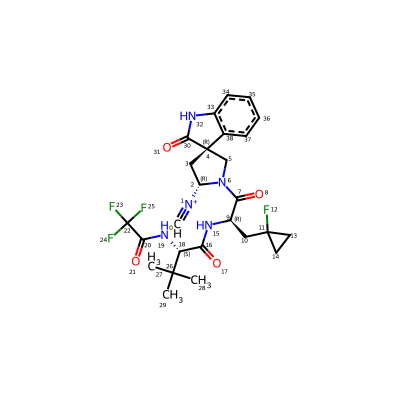 C#[N+][C@@H]1C[C@@]2(CN1C(=O)[C@@H](CC1(F)CC1)NC(=O)[C@@H](NC(=O)C(F)(F)F)C(C)(C)C)C(=O)Nc1ccccc12